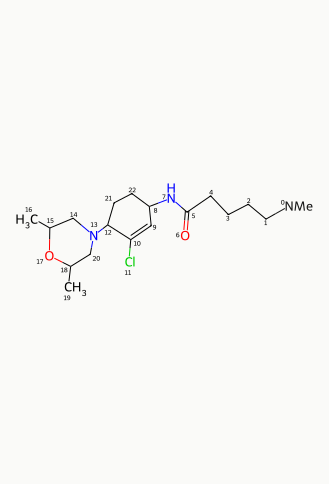 CNCCCCC(=O)NC1C=C(Cl)C(N2CC(C)OC(C)C2)CC1